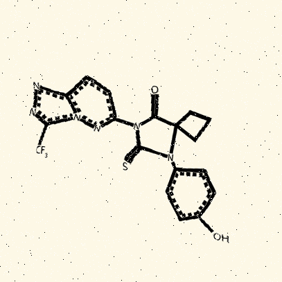 O=C1N(c2ccc3nnc(C(F)(F)F)n3n2)C(=S)N(c2ccc(O)cc2)C12CCC2